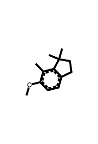 COc1ccc2c(c1C)C(C)(C)CC2